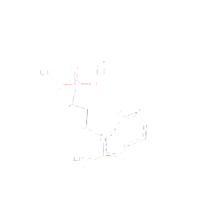 CCOP(=O)(CCC[n+]1c(C)sc2ccccc21)OCC